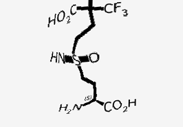 N=S(=O)(CC[C@H](N)C(=O)O)CCC(O)(C(=O)O)C(F)(F)F